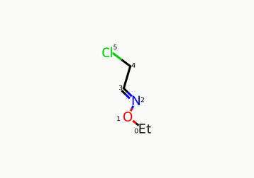 CCON=CCCl